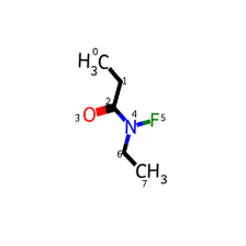 CCC(=O)N(F)CC